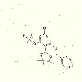 CC1(C)OB(c2c(OCc3ccccc3)cc(Cl)cc2OC(F)(F)F)OC1(C)C